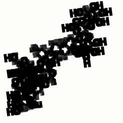 CC[C@H](C)[C@H](C[C@H](O)CC(=O)O[C@@H]1C(C)O[C@@H](OC(=O)[C@]23CCC(C)(C)CC2C2=CCC4[C@@]5(C)CC[C@H](O[C@@H]6OC(O)(C(=O)O)CC(O[C@@H]7OC(CO)[C@@H](O)C(O)C7O)C6O[C@@H]6OC(CO)[C@H](O)C(O)C6O)[C@@](C)(C=O)C5CC[C@@]4(C)[C@]2(C)C[C@H]3O)C(O[C@@H]2OC(C)[C@H](O[C@H]3OCC(O)[C@H](O[C@@H]4OCC(O)(CO)C4O)C3O)C(O)[C@@H]2O)C1O)OC(=O)C[C@@H](O)C[C@H](OC1(O)CO[C@@H](CO)C1O)[C@@H](C)CC